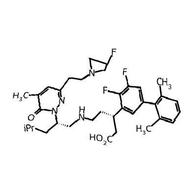 Cc1cccc(C)c1-c1cc(F)c(F)c([C@@H](CCNC[C@H](CC(C)C)n2nc(CCN3CC(F)C3)cc(C)c2=O)CC(=O)O)c1